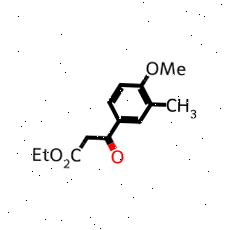 CCOC(=O)CC(=O)c1ccc(OC)c(C)c1